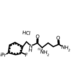 CC(C)c1ccc(CNC(=O)[C@@H](N)CCC(N)=O)c(F)c1.Cl